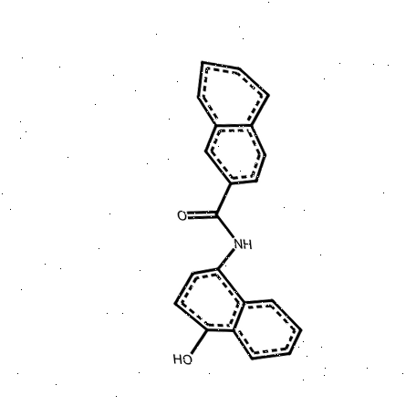 O=C(Nc1ccc(O)c2ccccc12)c1ccc2ccccc2c1